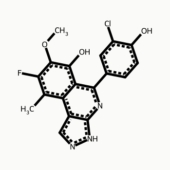 COc1c(F)c(C)c2c(c(-c3ccc(O)c(Cl)c3)nc3[nH]ncc32)c1O